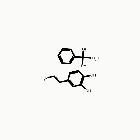 NCCc1ccc(O)c(O)c1.O=C(O)C(O)(O)c1ccccc1